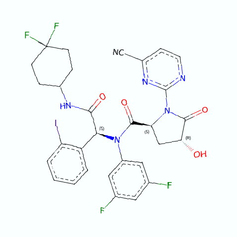 N#Cc1ccnc(N2C(=O)[C@H](O)C[C@H]2C(=O)N(c2cc(F)cc(F)c2)[C@H](C(=O)NC2CCC(F)(F)CC2)c2ccccc2I)n1